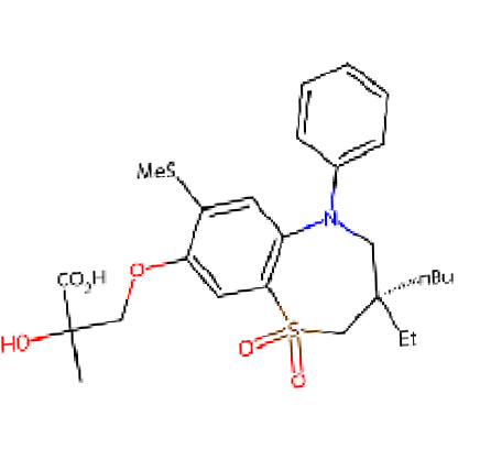 CCCC[C@@]1(CC)CN(c2ccccc2)c2cc(SC)c(OCC(C)(O)C(=O)O)cc2S(=O)(=O)C1